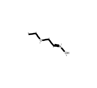 CCOCC=NO